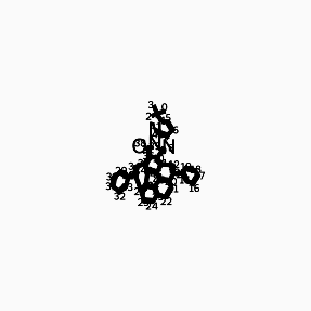 CC(C)(C)c1ccc2nc3c4c5cc(-c6ccccc6)c6ccc7ccc8c(-c9ccccc9)cc(c4c(=O)n3c2n1)c1c8c7c6c51